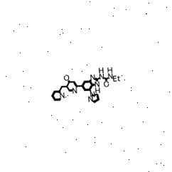 CCNC(=O)Nc1nc2cc(C3=CC(=O)C(Cc4ccccn4)C=N3)cc(-n3cccn3)c2[nH]1